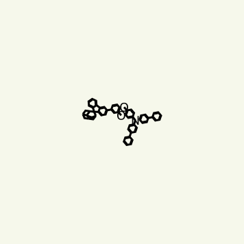 c1ccc(-c2ccc(N(c3ccc(-c4ccccc4)cc3)c3ccc4c(c3)Oc3cc(-c5ccc6c(c5)-c5ccccc5C65C6CC7CC(C6)CC5C7)ccc3O4)cc2)cc1